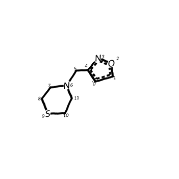 [c]1conc1CN1CCSCC1